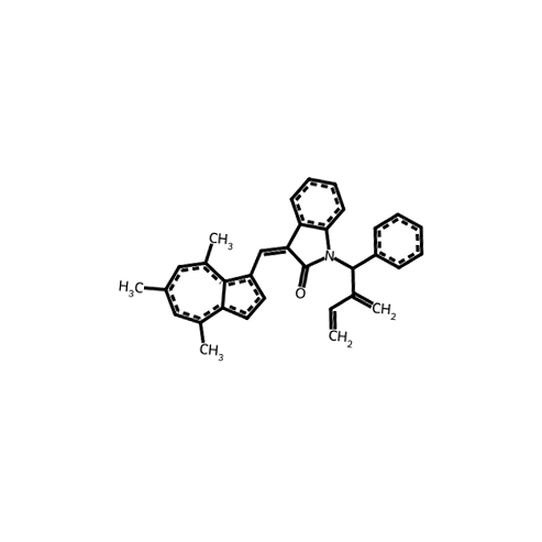 C=CC(=C)C(c1ccccc1)N1C(=O)C(=Cc2ccc3c(C)cc(C)cc(C)c2-3)c2ccccc21